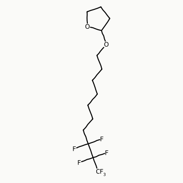 FC(F)(F)C(F)(F)C(F)(F)CCCCCCCOC1CCCO1